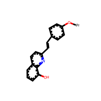 CC(C)Oc1ccc(/C=C/c2ccc3cccc(O)c3n2)cc1